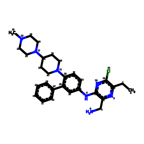 CCc1nc(CN)c(Nc2ccc(N3CCC(N4CCN(C)CC4)CC3)c(-c3ccccc3)c2)nc1Cl